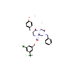 COc1ccc(C[C@H]2CN(C(=O)OCc3cc(C(F)(F)F)cc(C(F)(F)F)c3)[C@H]3CN(Cc4ccccc4)C(=O)[C@H](C)N3C2=O)cc1